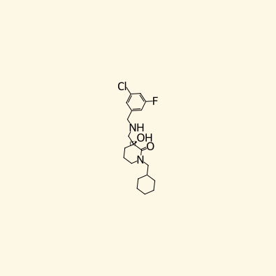 O=C1N(CC2CCCCC2)CCC[C@]1(O)CNCc1cc(F)cc(Cl)c1